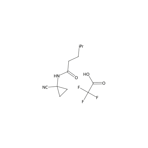 CC(C)CCC(=O)NC1(C#N)CC1.O=C(O)C(F)(F)F